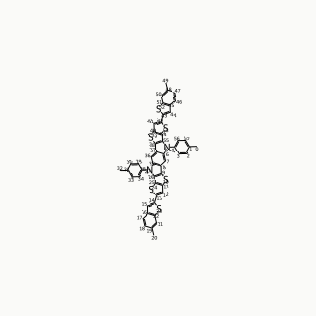 Cc1ccc(-n2c3cc4c5sc6cc(-c7cc8ccc(C)cc8s7)sc6c5n(-c5ccc(C)cc5)c4cc3c3sc4cc(-c5cc6ccc(C)cc6s5)sc4c32)cc1